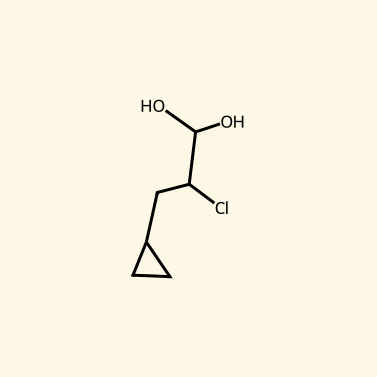 OC(O)C(Cl)CC1CC1